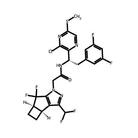 CSc1cnc([C@H](Cc2cc(F)cc(F)c2)NC(=O)Cn2nc(C(F)F)c3c2C(F)(F)[C@@H]2CC[C@H]32)c(Cl)n1